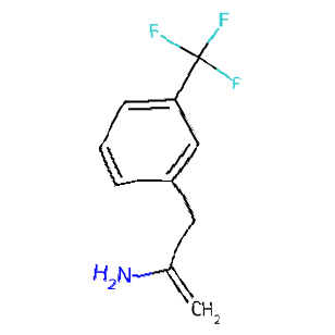 C=C(N)Cc1cccc(C(F)(F)F)c1